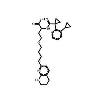 O=C(O)C(CCOCCCCc1ccc2c(n1)NCCC2)NC(=O)C1(c2ncccc2C2CC2)CC1